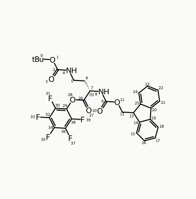 CC(C)(C)OC(=O)NCC[C@H](NC(=O)OCC1c2ccccc2-c2ccccc21)C(=O)Oc1c(F)c(F)c(F)c(F)c1F